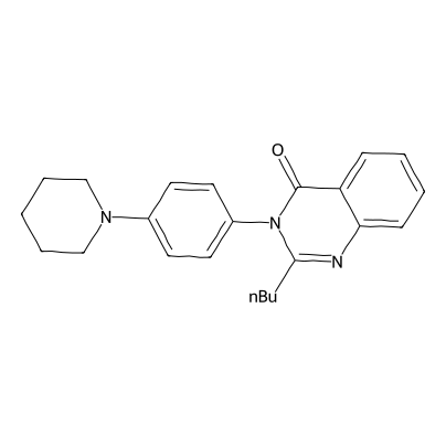 CCCCc1nc2ccccc2c(=O)n1-c1ccc(N2CCCCC2)cc1